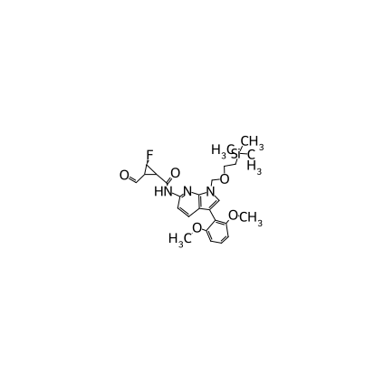 COc1cccc(OC)c1-c1cn(COCC[Si](C)(C)C)c2nc(NC(=O)C3C(C=O)[C@H]3F)ccc12